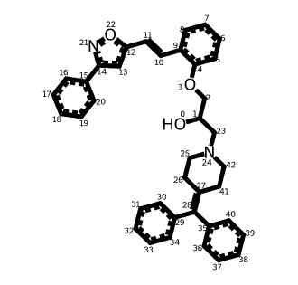 OC(COc1ccccc1C=Cc1cc(-c2ccccc2)no1)CN1CCC(=C(c2ccccc2)c2ccccc2)CC1